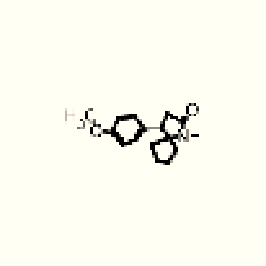 COc1ccc([C@H]2CC(=O)NC23CCCC3)cc1